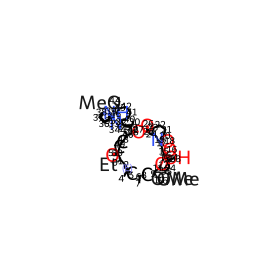 CCC1/C=C(\C)CC(C)CC(OC)C2OC(O)(C(=O)C(=O)N3CCCCC3C(=O)OC(C(C)=CC3(N(C)c4ccc[nH]4)CCCC(OC)C3)C(C)CCC1=O)C(C)CC2OC